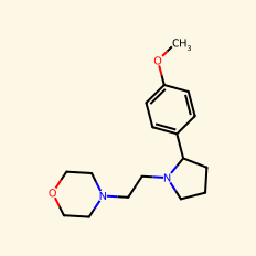 COc1ccc(C2CCCN2CCN2CCOCC2)cc1